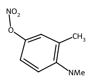 CNc1ccc(O[N+](=O)[O-])cc1C